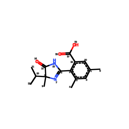 Cc1cc(C)c(C2=NC(C)(C(C)C)C(=O)N2)c(C(=O)O)c1